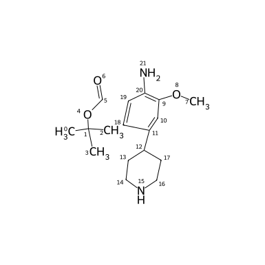 CC(C)(C)OC=O.COc1cc(C2CCNCC2)ccc1N